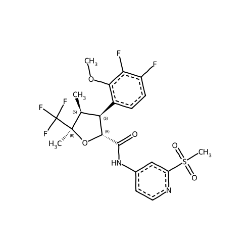 COc1c([C@H]2[C@H](C(=O)Nc3ccnc(S(C)(=O)=O)c3)O[C@@](C)(C(F)(F)F)[C@H]2C)ccc(F)c1F